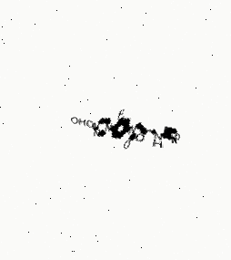 O=CN1CCN(c2ccc(N3C[C@H](CNc4ccon4)OC3=O)cc2F)C=N1